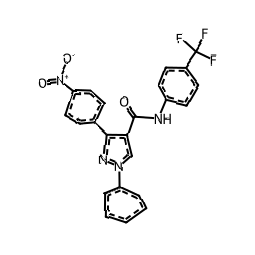 O=C(Nc1ccc(C(F)(F)F)cc1)c1cn(-c2ccccc2)nc1-c1ccc([N+](=O)[O-])cc1